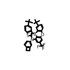 CC(C)(C)c1ccc2c(c1)B1c3c(cc(C(F)(F)F)cc3N(c3ccc4c(c3)CC4)c3sc4ccc(C(C)(C)C)cc4c31)O2